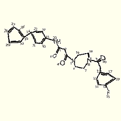 O=C(CC(=O)N1CCN(C(=O)c2ccc(F)cc2)CC1)Nc1ccc(-c2ccccc2)cc1